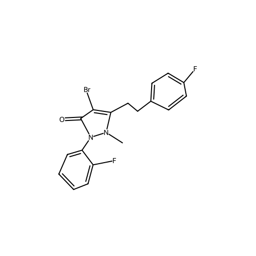 Cn1c(CCc2ccc(F)cc2)c(Br)c(=O)n1-c1ccccc1F